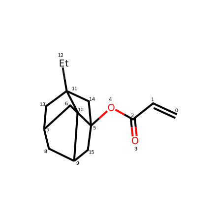 C=CC(=O)OC12CC3CC(CC(CC)(C3)C1)C2